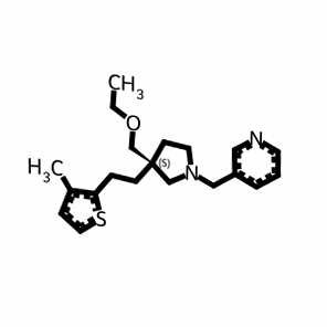 CCOC[C@@]1(CCc2sccc2C)CCN(Cc2cccnc2)C1